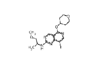 COC[C@H](C)Nc1ncc2c(OC3CCOCC3)ncc(I)c2n1